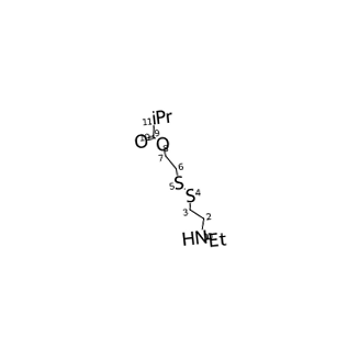 CCNCCSSCCOC(=O)C(C)C